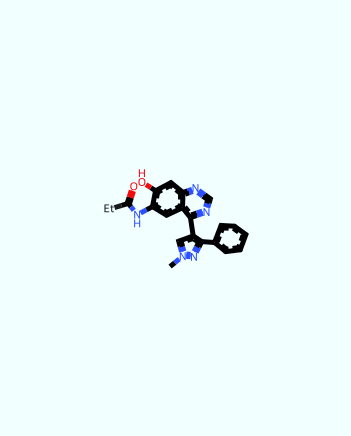 CCC(=O)Nc1cc2c(-c3cn(C)nc3-c3ccccc3)ncnc2cc1O